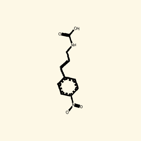 O=C(O)NCC=Cc1ccc([N+](=O)[O-])cc1